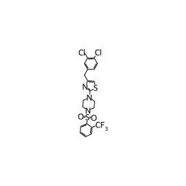 O=S(=O)(c1ccccc1C(F)(F)F)N1CCN(c2nc(Cc3ccc(Cl)c(Cl)c3)cs2)CC1